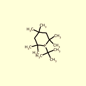 CC1(C)CC(C)(C)P(C(C)(C)C)C(C)(C)C1